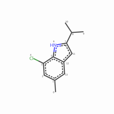 Cc1cc(Cl)c2[nH]c(C(C)C)cc2c1